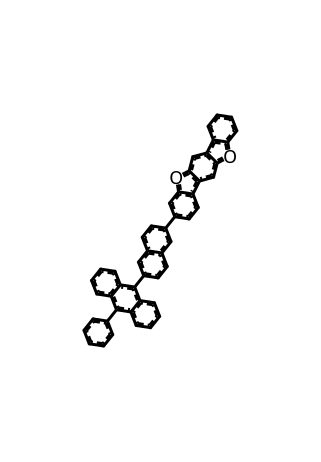 c1ccc(-c2c3ccccc3c(-c3ccc4cc(-c5ccc6c(c5)oc5cc7c(cc56)oc5ccccc57)ccc4c3)c3ccccc23)cc1